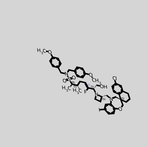 COc1ccc(CN(Cc2ccc(OC)cc2)S(=O)(=O)[C@H](C)[C@@H](C)C/C=C(\F)[C@H](CO)N2CC[C@H]2CN2C[C@@]3(CCCc4cc(Cl)ccc43)COc3ccc(I)cc32)cc1